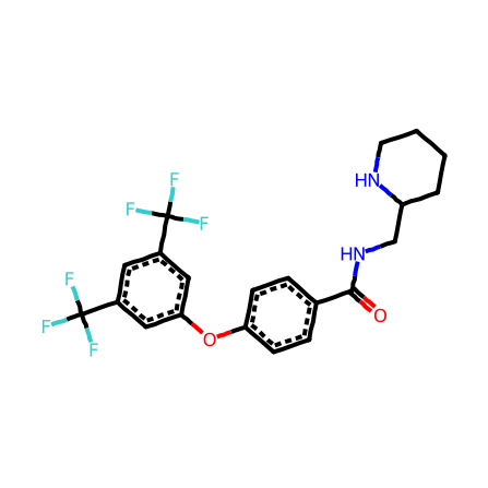 O=C(NCC1CCCCN1)c1ccc(Oc2cc(C(F)(F)F)cc(C(F)(F)F)c2)cc1